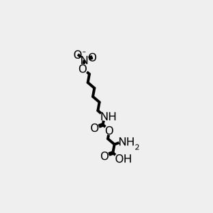 NC(COC(=O)NCCCCCCO[N+](=O)[O-])C(=O)O